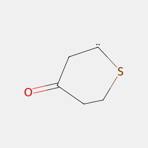 O=C1C[C]SCC1